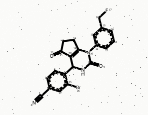 N#Cc1ccc(C2NC(=O)N(c3cccc(CF)c3)C3=C2C(=O)CC3)c(Br)c1